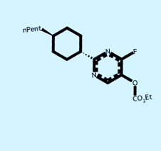 CCCCC[C@H]1CC[C@H](c2ncc(OC(=O)OCC)c(F)n2)CC1